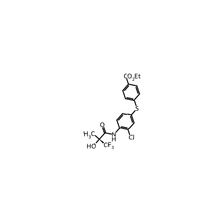 CCOC(=O)c1ccc(Sc2ccc(NC(=O)[C@@](C)(O)C(F)(F)F)c(Cl)c2)cc1